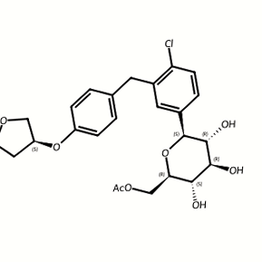 CC(=O)OC[C@H]1O[C@@H](c2ccc(Cl)c(Cc3ccc(O[C@H]4CCOC4)cc3)c2)[C@H](O)[C@@H](O)[C@@H]1O